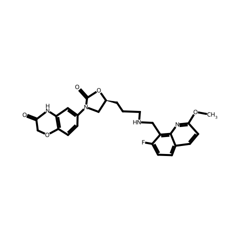 COc1ccc2ccc(F)c(CNCCC[C@H]3CN(c4ccc5c(c4)NC(=O)CO5)C(=O)O3)c2n1